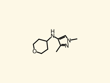 Cc1nn(C)cc1NC1CCOCC1